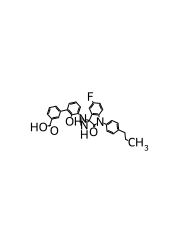 CCCc1ccc(N2C(=O)C3(NN3c3cccc(-c4cccc(C(=O)O)c4)c3O)c3cc(F)ccc32)cc1